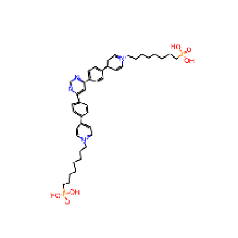 O=P(O)(O)CCCCCCCC[n+]1ccc(-c2ccc(-c3cc(-c4ccc(-c5cc[n+](CCCCCCCCP(=O)(O)O)cc5)cc4)ncn3)cc2)cc1